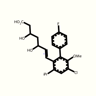 COc1c(Cl)cc(C(C)C)c(/C=C/C(O)CC(O)CC(=O)O)c1-c1ccc(F)cc1